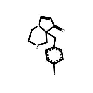 O=C1C=CN2CCNCC12Cc1ccc(F)cc1